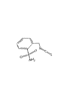 NS(=O)(=O)c1ccccc1CN=C=S